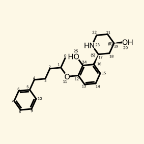 CC(CCCc1ccccc1)Oc1cccc([C@@H]2C[C@H](O)CCN2)c1O